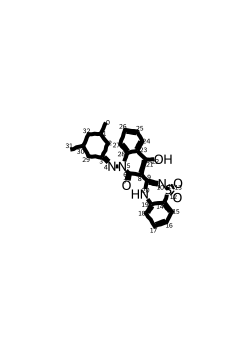 CC1CC(=Nn2c(=O)c(C3=NS(=O)(=O)c4ccccc4N3)c(O)c3ccccc32)CC(C)C1